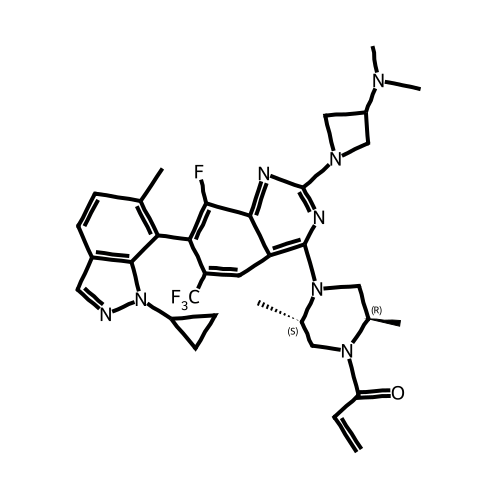 C=CC(=O)N1C[C@H](C)N(c2nc(N3CC(N(C)C)C3)nc3c(F)c(-c4c(C)ccc5cnn(C6CC6)c45)c(C(F)(F)F)cc23)C[C@H]1C